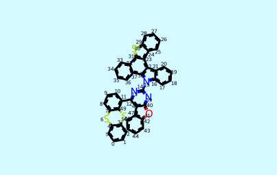 c1ccc2c(c1)Sc1cccc(-c3nc(-n4c5ccccc5c5c6c7ccccc7sc6c6ccccc6c54)nc4oc5ccccc5c34)c1S2